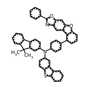 CC1(C)c2ccccc2-c2ccc(N(c3ccc(-c4cccc5oc6cc7oc(-c8ccccc8)nc7cc6c45)cc3)c3ccc4sc5ccccc5c4c3)cc21